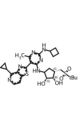 Cc1nc(NC2CCC2)nc(NC2C[C@H](CS(=O)(=O)C(C)(C)C)[C@@H](O)[C@H]2O)c1-c1nc2c(C3CC3)nccc2s1